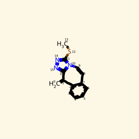 C=C1c2ccccc2C=Cn2c(SC)nnc21